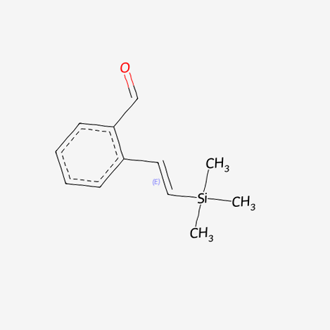 C[Si](C)(C)/C=C/c1ccccc1C=O